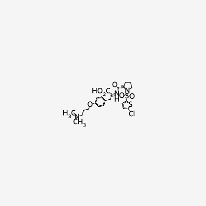 CN(C)CCCOc1ccc(C[C@H](NC(=O)[C@@H]2CCCN2S(=O)(=O)c2ccc(Cl)s2)C(=O)O)cc1